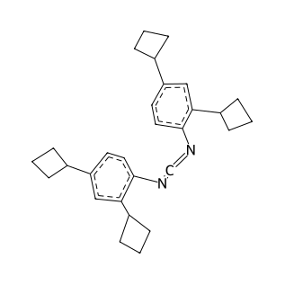 C(=Nc1ccc(C2CCC2)cc1C1CCC1)=Nc1ccc(C2CCC2)cc1C1CCC1